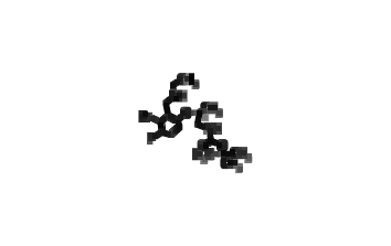 CCNCc1c(O[C@@H](C)CNC(=O)OC(C)(C)C)ccc(F)c1Br